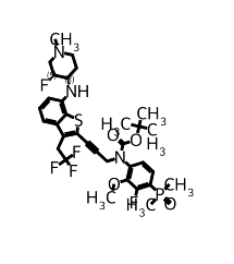 COc1c(N(CC#Cc2sc3c(N[C@@H]4CCN(C)C[C@@H]4F)cccc3c2CC(F)(F)F)C(=O)OC(C)(C)C)ccc(P(C)(C)=O)c1F